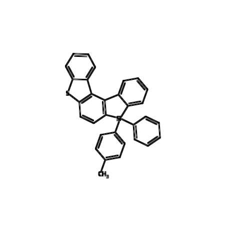 Cc1ccc([Si]2(c3ccccc3)c3ccccc3-c3c2ccc2sc4ccccc4c32)cc1